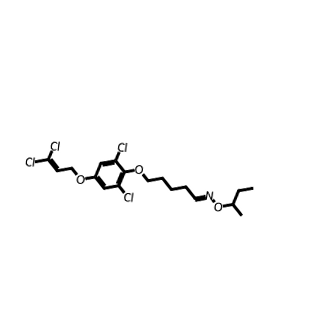 CCC(C)O/N=C/CCCCOc1c(Cl)cc(OCC=C(Cl)Cl)cc1Cl